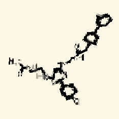 CC(=O)NCCNc1cc(NCCNC(=O)Cc2ccc(-c3ccccc3)cc2)nc(-c2ccc(Cl)cc2)n1